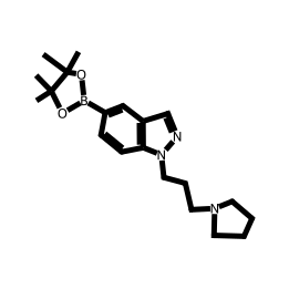 CC1(C)OB(c2ccc3c(cnn3CCCN3CCCC3)c2)OC1(C)C